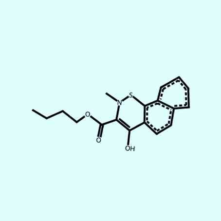 CCCCOC(=O)C1=C(O)c2ccc3ccccc3c2SN1C